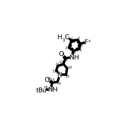 Cc1cc(F)cc(NC(=O)C2CCN(CC(=O)NC(C)(C)C)CC2)c1